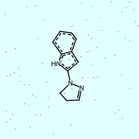 C1=NN(c2cc3ccccc3[nH]2)CC1